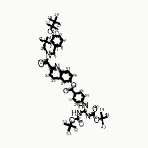 CC(C)(C)CN(Cc1cccc(OC(C)(C)C(C)(C)C)c1)C(=O)c1ccc2cc(OC(=O)c3ccc(N/C(=N\C(=O)OC(C)(C)C)NC(=O)OC(C)(C)C)cc3)ccc2n1